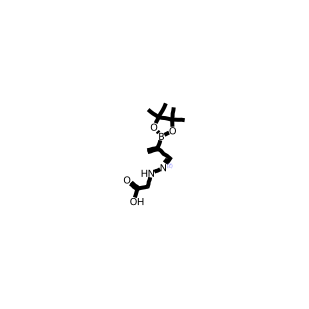 C=C(/C=N\NCC(=O)O)B1OC(C)(C)C(C)(C)O1